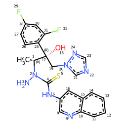 C[C@@H](N(N)C(=S)Nc1cnc2ccccc2c1)[C@](O)(Cn1cncn1)c1ccc(F)cc1F